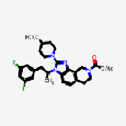 COC(=O)N1CCc2ccc3c(nc(N4CCC(C(=O)O)CC4)n3[C@@H](C)Cc3cc(F)cc(F)c3)c2C1